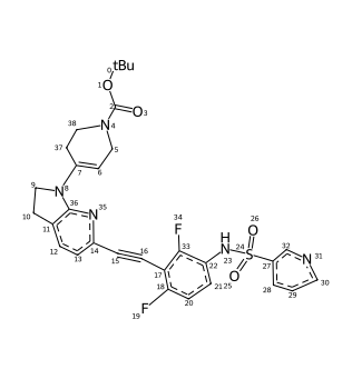 CC(C)(C)OC(=O)N1CC=C(N2CCc3ccc(C#Cc4c(F)ccc(NS(=O)(=O)c5cccnc5)c4F)nc32)CC1